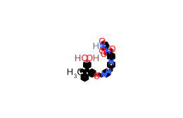 CC/C(=C(/c1ccc(OCCN2CCN(CC3CCN(c4ccc5c(c4)C(=O)N(C4CCC(=O)NC4=O)C5=O)CC3)CC2)cc1)c1ccc(B(O)O)cc1)c1ccccc1